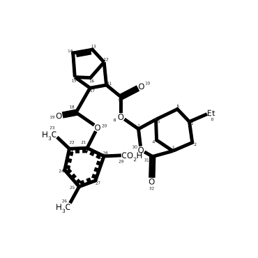 CCC1CC2CC(C1)C(OC(=O)C1C3C=CC(C3)C1C(=O)Oc1c(C)cc(C)cc1C(=O)O)OC2=O